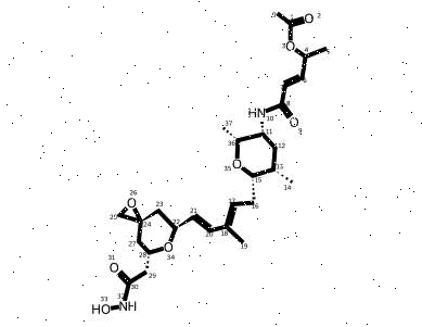 CC(=O)OC(C)C=CC(=O)N[C@@H]1C[C@H](C)[C@H](CC=C(C)C=C[C@@H]2C[C@]3(CO3)C[C@@H](CC(=O)NO)O2)O[C@@H]1C